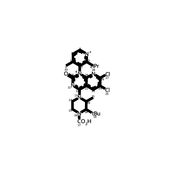 Cc1ccnc(C(C)C)c1-n1c(=O)nc(N2CCN(C(=O)O)C(C(C)(C)C)C2C)c2cc(Cl)c(Cl)nc21